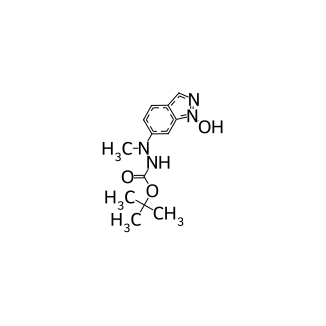 CN(NC(=O)OC(C)(C)C)c1ccc2cnn(O)c2c1